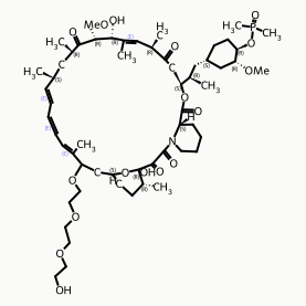 CO[C@@H]1C[C@H](C[C@@H](C)[C@@H]2CC(=O)[C@H](C)/C=C(\C)[C@@H](O)[C@@H](OC)C(=O)[C@H](C)C[C@H](C)/C=C/C=C/C=C(\C)C(OCCOCCOCCO)C[C@@H]3CC[C@@H](C)[C@@](O)(O3)C(=O)C(=O)N3CCCC[C@H]3C(=O)O2)CC[C@H]1OP(C)(C)=O